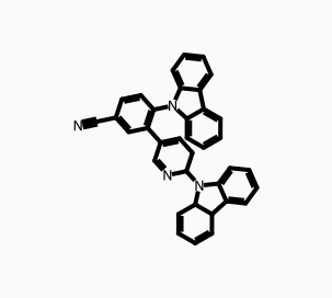 N#Cc1ccc(-n2c3ccccc3c3ccccc32)c(C2=CCC(N3c4ccccc4C4C=CC=CC43)N=C2)c1